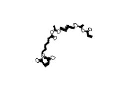 C=CC(=O)OC(C)OCCCCOC(C)OC(=O)CCCCCN1C(=O)C=CC1=O